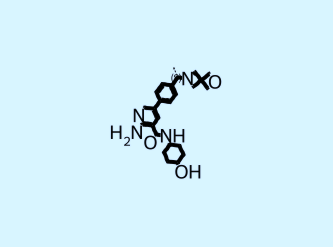 C[C@@H](c1ccc(-c2cnc(N)c(C(=O)NC3CCC(O)CC3)c2)cc1)N1CC2(COC2)C1